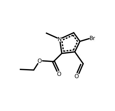 CCOC(=O)c1c(C=O)c(Br)cn1C